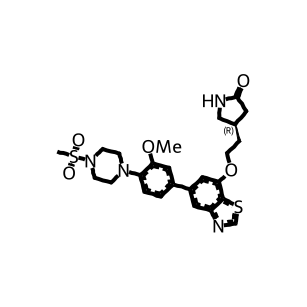 COc1cc(-c2cc(OCC[C@H]3CNC(=O)C3)c3scnc3c2)ccc1N1CCN(S(C)(=O)=O)CC1